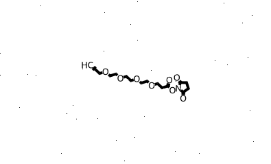 C#CCOCCOCCOCCOCCC(=O)ON1C(=O)CCC1=O